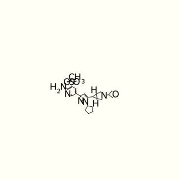 CS(=O)(=O)c1cc(-c2cc(C3[C@H]4CN(C5COC5)C[C@@H]34)n(C3CCCC3)n2)cnc1N